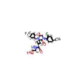 N#Cc1ccc(N2CC(=O)N(Cc3ccc(C(F)(F)F)cc3)[C@]3(C[C@H](C(=O)NCCO)C3)C2=O)c(F)c1